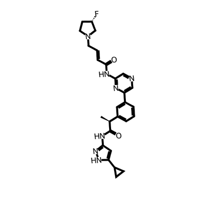 C[C@H](C(=O)Nc1cc(C2CC2)[nH]n1)c1cccc(-c2cncc(NC(=O)C=CCN3CC[C@H](F)C3)n2)c1